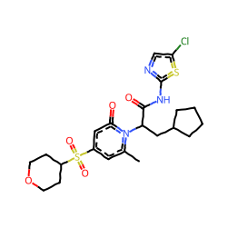 Cc1cc(S(=O)(=O)C2CCOCC2)cc(=O)n1C(CC1CCCC1)C(=O)Nc1ncc(Cl)s1